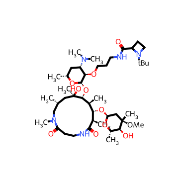 CO[C@]1(C)C[C@H](O[C@H]2[C@H](C)[C@@H](O[C@@H]3O[C@H](C)C[C@H](N(C)C)[C@H]3OCCCNC(=O)C3CCN3C(C)(C)C)[C@](C)(O)C[C@@H](C)CN(C)C(=O)CCNC(=O)[C@@H]2C)O[C@@H](C)[C@@H]1O